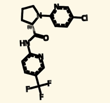 O=C(Nc1ccc(C(F)(F)F)cn1)[C@@H]1CCCN1c1ccc(Cl)cn1